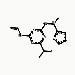 CC(F)c1nc(NC=O)nc(N[C@@H](C)c2cccs2)n1